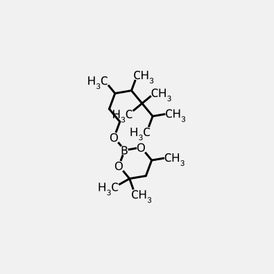 CC1CC(C)(C)OB(OCCC(C)C(C)C(C)(C)C(C)C)O1